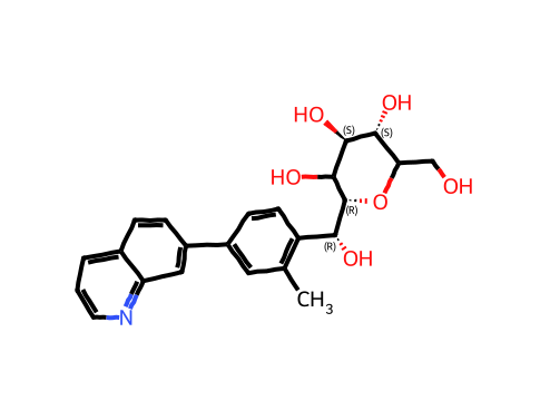 Cc1cc(-c2ccc3cccnc3c2)ccc1[C@@H](O)[C@H]1OC(CO)[C@@H](O)[C@H](O)C1O